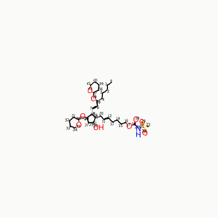 CCCCC[C@@H](C=C[C@@H]1[C@@H](CC=CCCCCOC(=O)NS(C)(=O)=O)[C@@H](O)C[C@H]1OC1CCCCO1)OC1CCCCO1